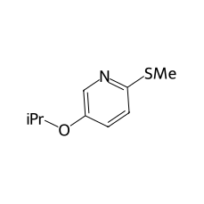 CSc1ccc(OC(C)C)cn1